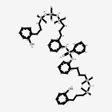 C[Si](C)(CCCc1ccccc1O)O[Si](C)(C)CCCc1ccccc1OP(=O)(Oc1ccccc1CCC[Si](C)(C)O[Si](C)(C)O[Si](C)(C)CCCc1ccccc1O)c1ccccc1